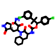 CC(C)(c1cccc(Cl)c1)C(OC(=O)NC(CC1CCCCC1)C(=O)NC(C[C@@H]1CCNC1=O)C(=O)C(N)=O)c1ccc(Cl)cc1